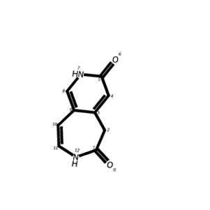 O=C1Cc2cc(=O)[nH]cc2C=CN1